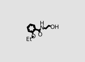 CCOc1ccccc1C(=O)NCCO